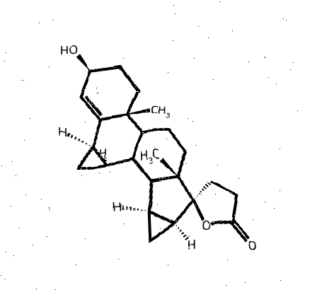 C[C@]12CC[C@H](O)C=C1[C@@H]1C[C@@H]1C1C2CC[C@@]2(C)C1[C@@H]1C[C@@H]1[C@@]21CCC(=O)O1